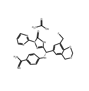 CC(=O)O.N=C(N)c1ccc(N[C@@H](c2cc(CF)c3c(c2)COCO3)c2nn(-c3ncccn3)c(=O)[nH]2)cc1